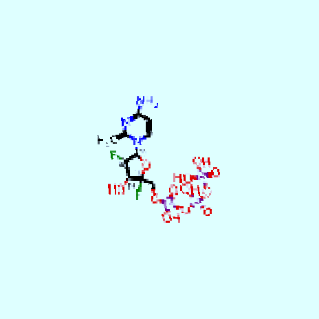 C=C1N=C(N)C=CN1[C@@H]1O[C@](F)(COP(=O)(O)OP(=O)(O)OP(=O)(O)O)[C@@H](O)[C@H]1F